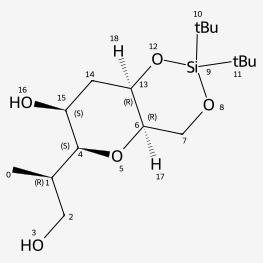 C[C@H](CO)[C@@H]1O[C@@H]2CO[Si](C(C)(C)C)(C(C)(C)C)O[C@@H]2C[C@@H]1O